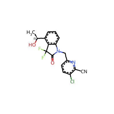 C[C@H](O)c1cccc2c1C(F)(F)C(=O)N2Cc1ccc(Cl)c(C#N)n1